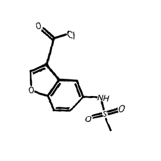 CS(=O)(=O)Nc1ccc2occ(C(=O)Cl)c2c1